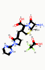 N[C@@H]1C(=O)N2C(C(=O)O)=C(/C=C3\CCN(c4ncccn4)C3=O)CS[C@H]12.O=C(O)C(F)(F)F